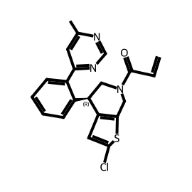 C=CC(=O)N1Cc2sc(Cl)cc2[C@@H](c2ccccc2-c2cc(C)ncn2)C1